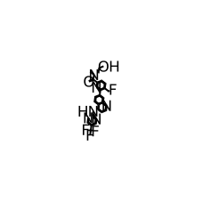 CN(CCO)C(=O)c1ccc(CF)c(-c2ccc3c(Nc4ncc(C(F)(F)F)cn4)ccnc3c2)n1